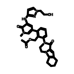 CC(=O)OCc1c(-c2cc(Nc3ccn(CCO)n3)c(=O)n(C)c2)cccc1N1CCn2c(cc3c2CCCC3)C1=O